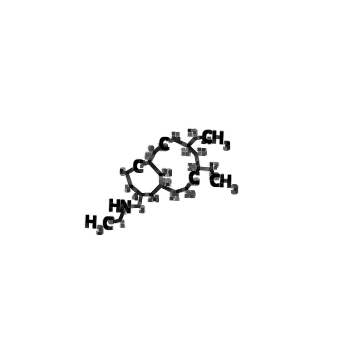 CCNCC1CCCC2CCCC(CC)CC(CC)CCCC(C2)C1